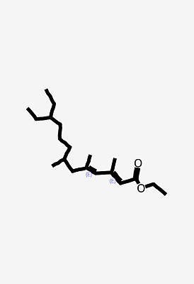 CCOC(=O)/C=C(C)/C=C(\C)CC(C)CCCC(CC)CC